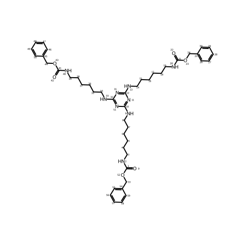 O=C(NCCCCCCNc1nc(NCCCCCCNC(=O)OCc2ccccc2)nc(NCCCCCCNC(=O)OCc2ccccc2)n1)OCc1ccccc1